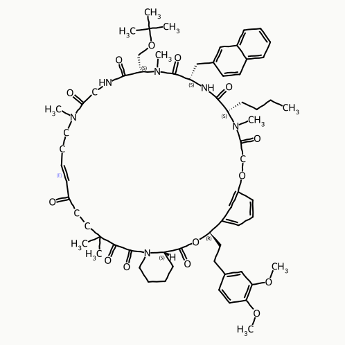 CCCC[C@H]1C(=O)N[C@@H](Cc2ccc3ccccc3c2)C(=O)N(C)[C@@H](COC(C)(C)C)C(=O)NCC(=O)N(C)CC/C=C/C(=O)CCC(C)(C)C(=O)C(=O)N2CCCC[C@H]2C(=O)O[C@H](CCc2ccc(OC)c(OC)c2)c2cccc(c2)OCC(=O)N1C